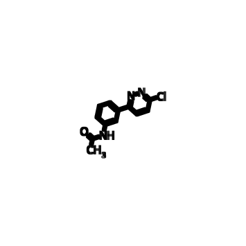 CC(=O)Nc1cccc(-c2ccc(Cl)nn2)c1